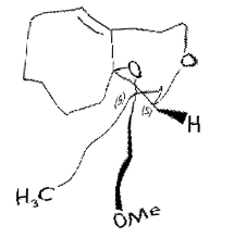 CO[C@]1(C)C[C@@H]2OCC3=CCCCC32O1